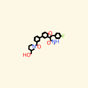 CNC(=O)c1c(-c2ccc(F)cc2)oc2ccc(-c3cccc(C(=O)N4CCCC(CO)C4)c3)cc12